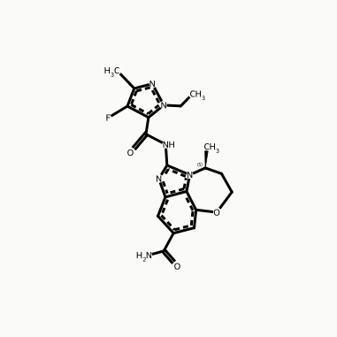 CCn1nc(C)c(F)c1C(=O)Nc1nc2cc(C(N)=O)cc3c2n1[C@@H](C)CCO3